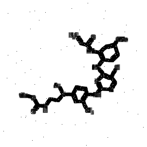 C=CC(=O)Nc1cc(OC)ccc1Nc1nc(Nc2ccc(N(CCNC(=O)OC(C)(C)C)C(C)=O)cc2C(F)(F)F)ncc1Cl